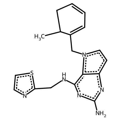 CC1CC=CC=C1Cn1ccc2nc(N)nc(NCc3nccs3)c21